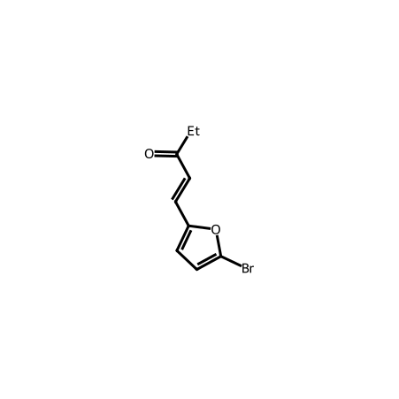 CCC(=O)/C=C/c1ccc(Br)o1